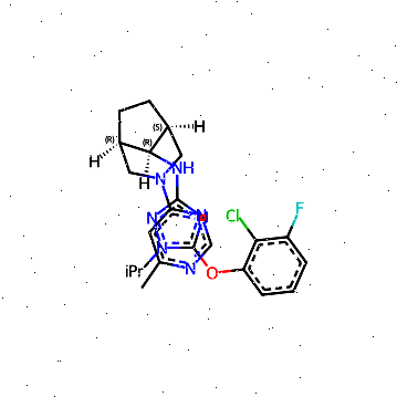 Cc1cc(N2C[C@H]3CC[C@@H](C2)[C@H]3Nc2nc(Oc3cccc(F)c3Cl)n(C(C)C)n2)ncn1